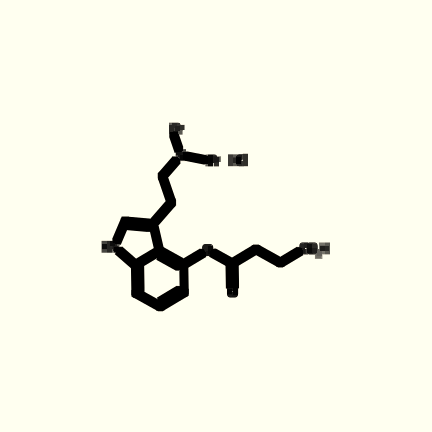 CC(C)N(CCc1c[nH]c2cccc(OC(=O)CCC(=O)O)c12)C(C)C.Cl